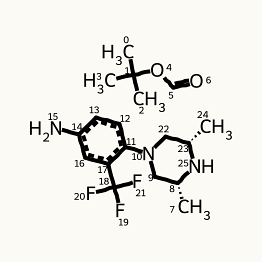 CC(C)(C)OC=O.C[C@@H]1CN(c2ccc(N)cc2C(F)(F)F)C[C@H](C)N1